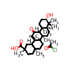 CC(=O)Cl.CC1(C)[C@@H](O)CC[C@]2(C)[C@H]3C(=O)C=C4[C@@H]5C[C@@](C)(C(=O)O)CC[C@]5(C)CC[C@@]4(C)[C@]3(C)CC[C@@H]12